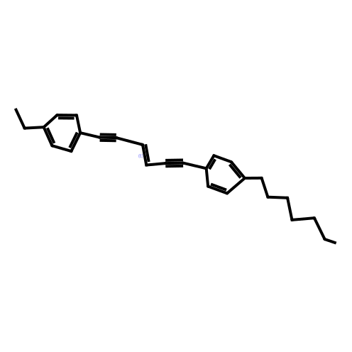 CCCCCCCc1ccc(C#C/C=C/C#Cc2ccc(CC)cc2)cc1